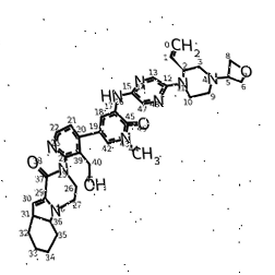 C=C[C@H]1CN(C2COC2)CCN1c1cnc(Nc2cc(-c3ccnc(N4CCN5C(=CC6CCCCC65)C4=O)c3CO)cn(C)c2=O)cn1